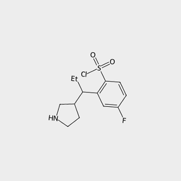 CCC(c1cc(F)ccc1S(=O)(=O)Cl)C1CCNC1